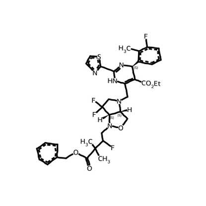 CCOC(=O)C1=C(CN2CC(F)(F)[C@@H]3[C@H]2CON3CC(F)C(C)(C)C(=O)OCc2ccccc2)NC(c2nccs2)=N[C@H]1c1cccc(F)c1C